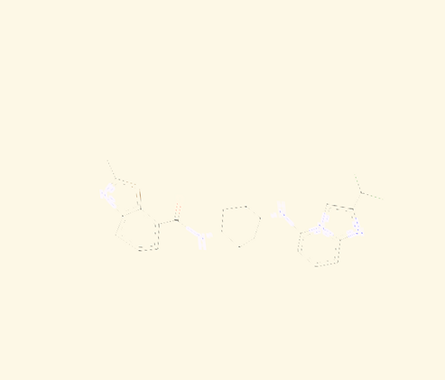 Cc1nc2cccc(C(=O)N[C@H]3CC[C@@H](Nc4cccc5nc(C(F)F)cn45)CC3)c2s1